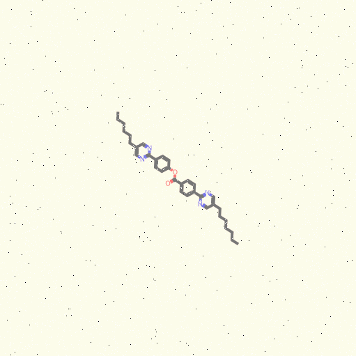 CCCCCCCc1cnc(-c2ccc(C(=O)Oc3ccc(-c4ncc(CCCCCC)cn4)cc3)cc2)nc1